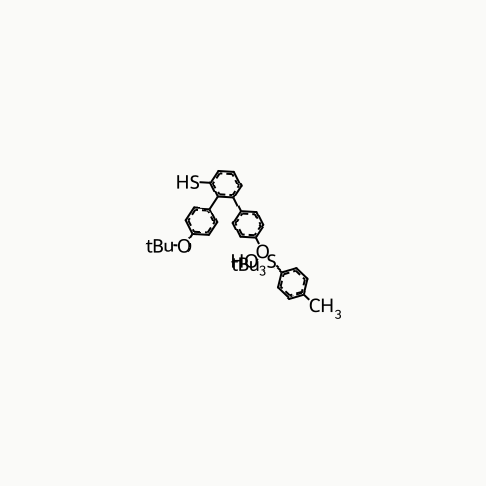 CC(C)(C)Oc1ccc(-c2cccc(S)c2-c2ccc(OC(C)(C)C)cc2)cc1.Cc1ccc(S(=O)(=O)O)cc1